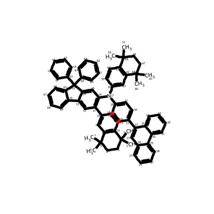 CC1(C)CCC(C)(C)c2cc(-c3cc4c(cc3N(c3ccc(-c5cc6ccccc6c6ccccc56)cc3)c3ccc5c(c3)C(C)(C)CCC5(C)C)C(c3ccccc3)(c3ccccc3)c3ccccc3-4)ccc21